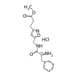 COC(=O)CCc1cc(CNC(=O)[C@@H](N)Cc2ccccc2)on1.Cl